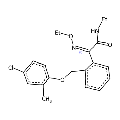 CCNC(=O)/C(=N\OCC)c1ccccc1COc1ccc(Cl)cc1C